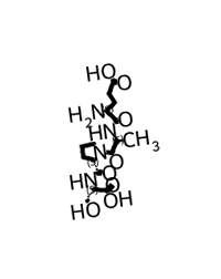 C[C@H](NC(=O)[C@@H](N)CCC(=O)O)C(=O)N1CCC[C@H]1C(=O)N[C@@H](CO)C(=O)O